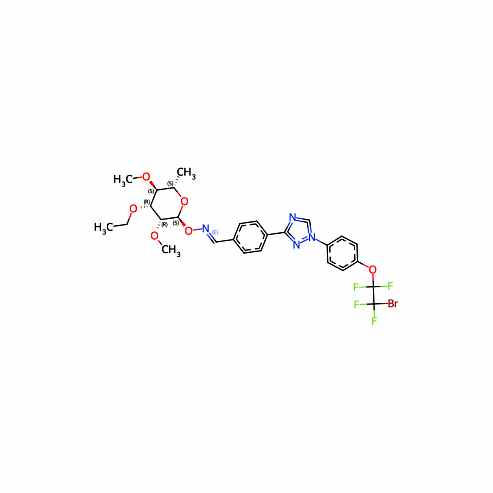 CCO[C@@H]1[C@@H](OC)[C@H](C)O[C@@H](O/N=C/c2ccc(-c3ncn(-c4ccc(OC(F)(F)C(F)(F)Br)cc4)n3)cc2)[C@@H]1OC